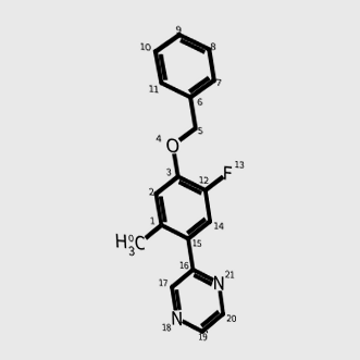 Cc1cc(OCc2ccccc2)c(F)cc1-c1cn[c]cn1